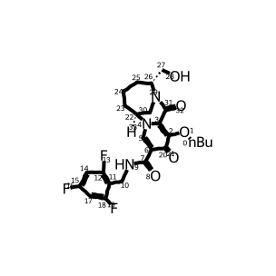 CCCCOc1c2n(cc(C(=O)NCc3c(F)cc(F)cc3F)c1=O)[C@H]1CCC[C@H](CO)N(C1)C2=O